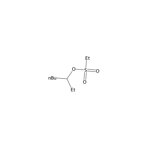 CCCCC(CC)OS(=O)(=O)CC